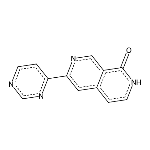 O=c1[nH]ccc2cc(-c3ccncn3)ncc12